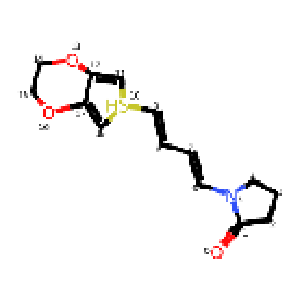 O=C1CCCN1C=CC=C[SH]1C=C2OCCOC2=C1